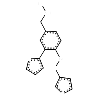 CCNCc1ccc(NSc2ccsc2)c(-c2ccco2)c1